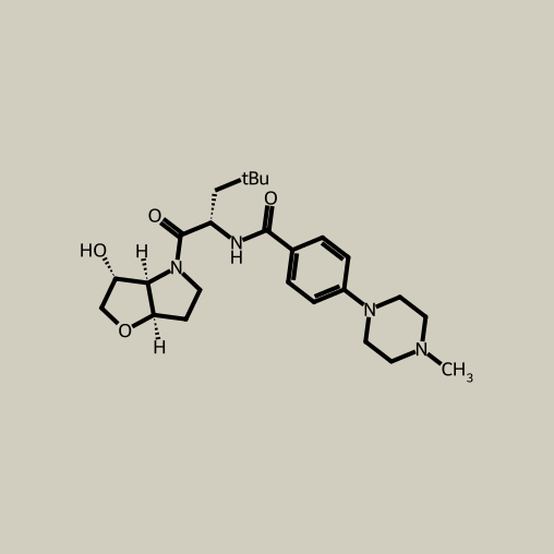 CN1CCN(c2ccc(C(=O)N[C@@H](CC(C)(C)C)C(=O)N3CC[C@H]4OC[C@H](O)[C@H]43)cc2)CC1